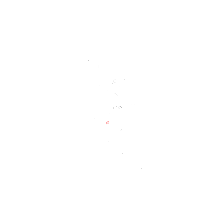 CC(C)C(=O)OC1(C(=O)c2ccccc2OC(=O)OC(C)(C)C)C=CC=CC1C(=O)OOC(=O)C1C=CC=CC1(OC(=O)C(C)C)C(=O)c1ccccc1OC(=O)OC(C)(C)C